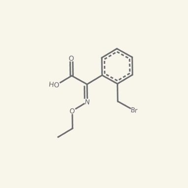 CCON=C(C(=O)O)c1ccccc1CBr